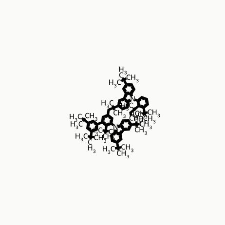 CCC(C)(C)c1c(-n2c3ccc(C(C)(C)C)cc3c3cc(C(C)(C)Cc4cc(-c5cc(C(C)(C)C)cc(C(C)(C)C)c5)c(C(C)(C)C)c(-n5c6ccc(C(C)(C)C)cc6c6cc(C(C)(C)C)ccc65)c4)ccc32)cccc1C(C)(C)C